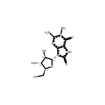 Nc1nc2c([nH]c(=O)n2[C@@H]2O[C@@H](CO)[C@H](O)[C@H]2O)c(=O)n1N